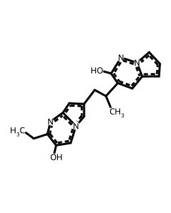 CCc1nc2cc(CC(C)c3cc4cccn4nc3O)cn2cc1O